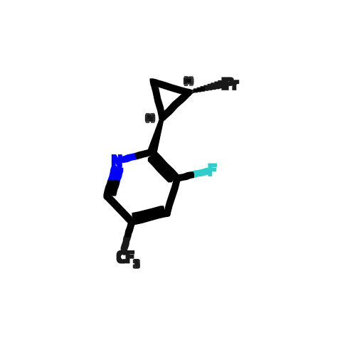 CC(C)[C@H]1C[C@@H]1c1ncc(C(F)(F)F)cc1F